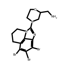 NCC1CN(c2nc3c(Br)c(Br)c(Br)c4c3n2CCC4)CCO1